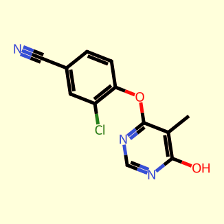 Cc1c(O)ncnc1Oc1ccc(C#N)cc1Cl